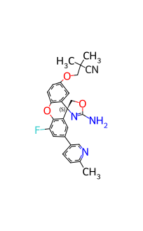 Cc1ccc(-c2cc(F)c3c(c2)[C@]2(COC(N)=N2)c2cc(OCC(C)(C)C#N)ccc2O3)cn1